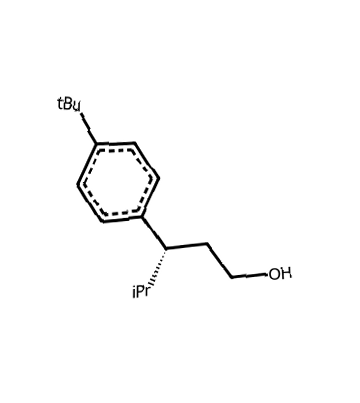 CC(C)[C@@H](CCO)c1ccc(C(C)(C)C)cc1